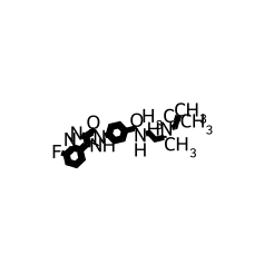 CC(CCNC(=O)c1ccc(-n2[nH]c3c(nnc4c(F)cccc43)c2=O)cc1)NCC(C)(C)C